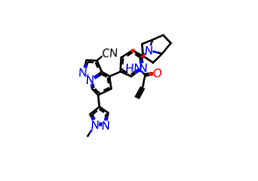 C#CC(=O)NC1(C)CC2CCC(C1)N2c1ccc(-c2cc(-c3cnn(C)c3)cn3ncc(C#N)c23)cn1